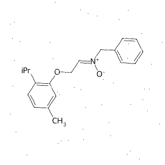 Cc1ccc(C(C)C)c(OCC=[N+]([O-])Cc2ccccc2)c1